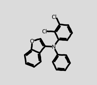 Clc1cccc(N(c2ccccc2)c2coc3ccccc23)c1Cl